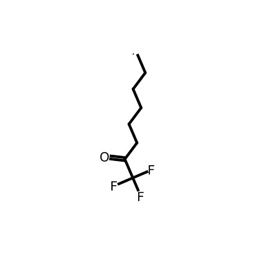 [CH2]CCCCCC(=O)C(F)(F)F